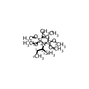 CCC([SiH3])N([Si](OC)(OC)OC)[Si](OC)(OC)OC